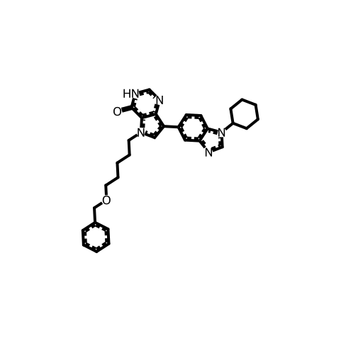 O=c1[nH]cnc2c(-c3ccc4c(c3)ncn4C3CCCCC3)cn(CCCCCOCc3ccccc3)c12